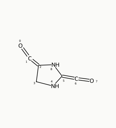 O=C=C1CNC(=C=O)N1